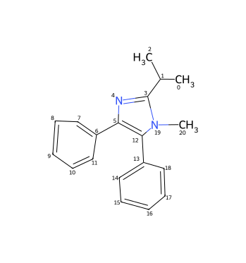 CC(C)c1nc(-c2ccccc2)c(-c2ccccc2)n1C